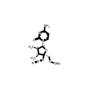 CC(C)COOC[C@@]1(N=[N+]=[N-])O[C@@H](n2ccc(N)nc2=O)[C@H](C)[C@@H]1C